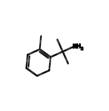 CC1=C(C(C)(C)N)CCC=C1